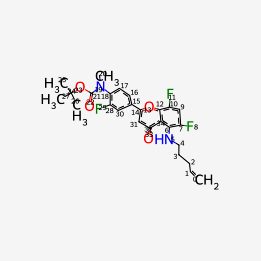 C=CCCCNc1c(F)cc(F)c2oc(-c3ccc(N(C)C(=O)OC(C)(C)C)c(F)c3)cc(=O)c12